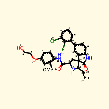 COc1cc(OCCO)ccc1NC(=O)C1CC2(C(=O)Nc3ccc(-c4cccc(Cl)c4F)cc32)C(CC(C)(C)C)N1